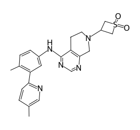 Cc1ccc(-c2cc(Nc3ncnc4c3CCN(C3CS(=O)(=O)C3)C4)ccc2C)nc1